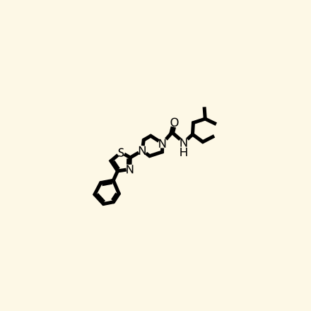 CCC(CC(C)C)NC(=O)N1CCN(c2nc(-c3ccccc3)cs2)CC1